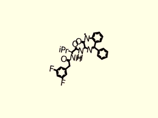 CC(C)[C@H](NC(=O)Cc1cc(F)cc(F)c1)C(=O)NC1N=C(c2ccccc2)c2ccccc2N(C)C1=O